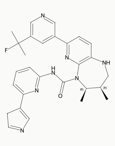 C[C@@H]1CNc2ccc(-c3cncc(C(C)(C)F)c3)nc2N(C(=O)Nc2cccc(C3=CN=CC3)n2)[C@@H]1C